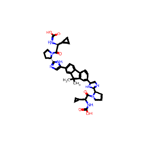 CC1(C)c2cc(-c3cnc(C4CCCN4C(=O)C(NC(=O)O)C4CC4)[nH]3)ccc2-c2ccc(-c3cnc([C@@H]4CCCN4C(=O)[C@@H](NC(=O)O)C4CC4)[nH]3)cc21